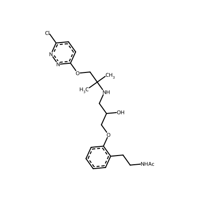 CC(=O)NCCc1ccccc1OCC(O)CNC(C)(C)COc1ccc(Cl)nn1